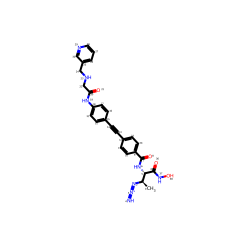 C[C@@H](N=[N+]=N)[C@H](NC(=O)c1ccc(C#Cc2ccc(NC(=O)CNCc3cccnc3)cc2)cc1)C(=O)NO